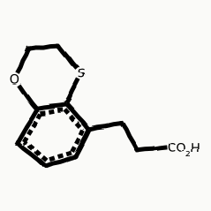 O=C(O)CCc1cccc2c1SCCO2